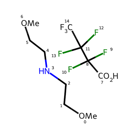 COCCNCCOC.O=C(O)C(F)(F)C(F)(F)C(F)(F)F